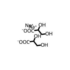 O=C([O-])C(O)CO.O=C([O-])C(O)CO.[Na+].[Na+]